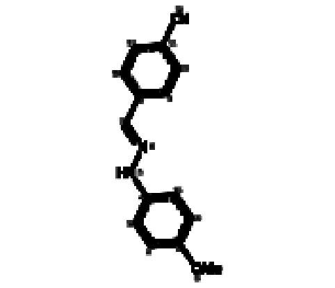 COc1ccc(N/N=C/c2ccc(C#N)cc2)cc1